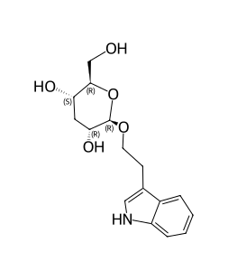 OC[C@H]1O[C@@H](OCCc2c[nH]c3ccccc23)[C@H](O)C[C@@H]1O